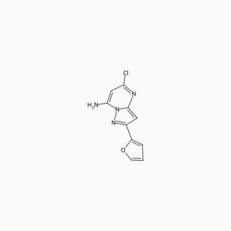 Nc1cc(Cl)nc2cc(-c3ccco3)nn12